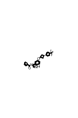 O=C(Nc1c[nH]c2ccc(O[C@H]3C[C@@H](c4ccc(C(F)(F)F)cc4)C3)cc12)C12CCC(C1)C2